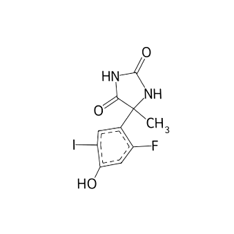 CC1(c2cc(I)c(O)cc2F)NC(=O)NC1=O